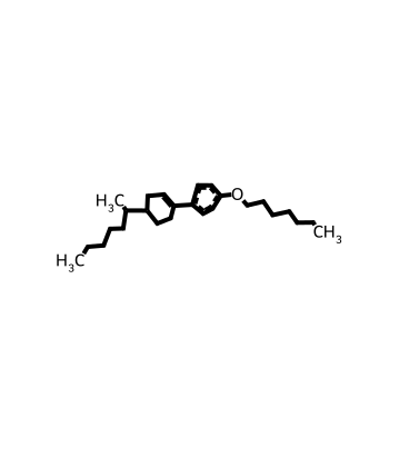 CCCCCCCOc1ccc(C2=CCC(C(C)CCCCC)CC2)cc1